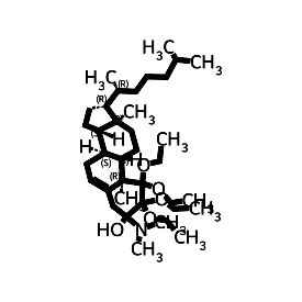 CCOC1(OCC)C(O)(N(C)C)CC2=CC[C@H]3[C@@H]4CC[C@H]([C@H](C)CCCC(C)C)[C@@]4(C)CC[C@@H]3[C@@]2(C)C1(OCC)OCC